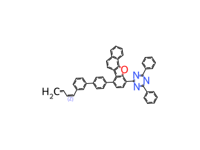 C=C/C=C\c1cccc(-c2ccc(-c3ccc(-c4nc(-c5ccccc5)nc(-c5ccccc5)n4)c4oc5c6ccccc6ccc5c34)cc2)c1